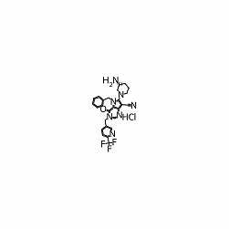 Cl.N#Cc1c(N2CCC[C@H](N)C2)n(Cc2ccccc2)c2c(=O)n(Cc3ccc(C(F)(F)F)nc3)cnc12